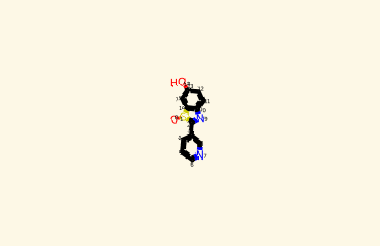 [O-][s+]1c(-c2cccnc2)nc2ccc(O)cc21